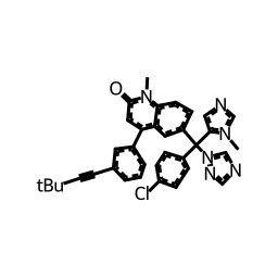 Cn1cncc1C(c1ccc(Cl)cc1)(c1ccc2c(c1)c(-c1cccc(C#CC(C)(C)C)c1)cc(=O)n2C)n1cncn1